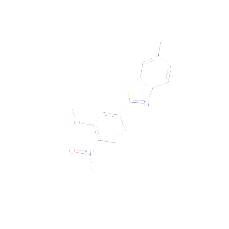 COc1cc(-c2nc3ccc(C)cc3s2)ccc1[N+](=O)[O-]